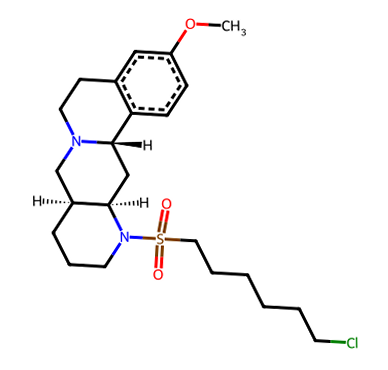 COc1ccc2c(c1)CCN1C[C@@H]3CCCN(S(=O)(=O)CCCCCCCl)[C@@H]3C[C@@H]21